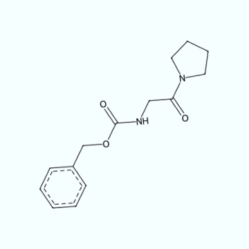 O=C(NCC(=O)N1CCCC1)OCc1ccccc1